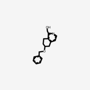 OCc1nccc2c1CCC(OCc1ccccc1)C2